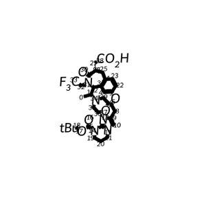 CC(C1c2cc(OCCc3cn4c(n3)N(C(=O)OC(C)(C)C)CCC4)ccc2C[C@@H](CC(=O)O)C(=O)N1CC(F)(F)F)N1CCOCC1